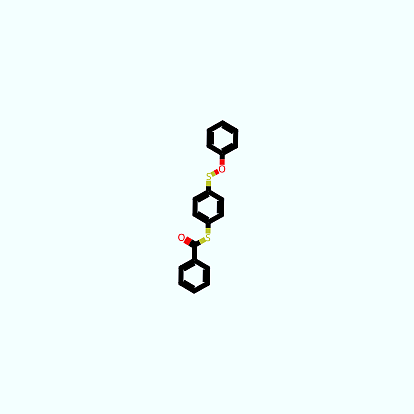 O=C(Sc1ccc(SOc2ccccc2)cc1)c1ccccc1